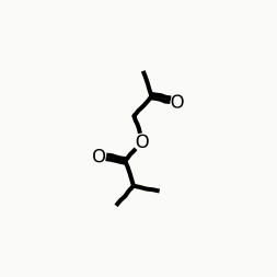 CC(=O)COC(=O)C(C)C